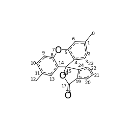 Cc1ccc2c(c1)Oc1ccc(C)cc1C21OC(=O)c2ccccc21